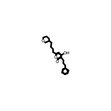 O=c1oc(CCCCC2CCCOC2)cc(O)c1CCCc1ccccc1